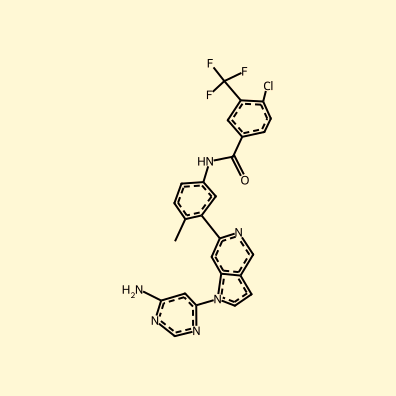 Cc1ccc(NC(=O)c2ccc(Cl)c(C(F)(F)F)c2)cc1-c1cc2c(ccn2-c2cc(N)ncn2)cn1